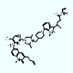 C=CCCC1=Cc2cc(Nc3nc(N4CC(C)N(CC5CCN(c6cccc7c(C(C)CCC(=O)NC=C)nn(C)c67)CC5)C(C)C4)ncc3Cl)ccc2N(C)C1=C